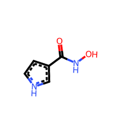 O=C(NO)c1cc[nH]c1